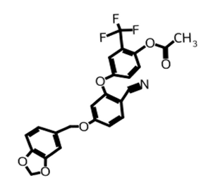 CC(=O)Oc1ccc(Oc2cc(OCc3ccc4c(c3)OCO4)ccc2C#N)cc1C(F)(F)F